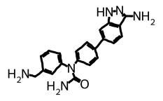 NCc1cccc(N(C(N)=O)c2ccc(-c3ccc4c(N)n[nH]c4c3)cc2)c1